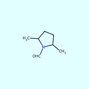 CC1CCC(C)N1C=O